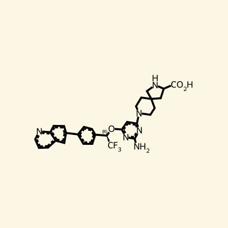 Nc1nc(O[C@H](c2ccc(-c3ccc4ncccc4c3)cc2)C(F)(F)F)cc(N2CCC3(CC2)CNC(C(=O)O)C3)n1